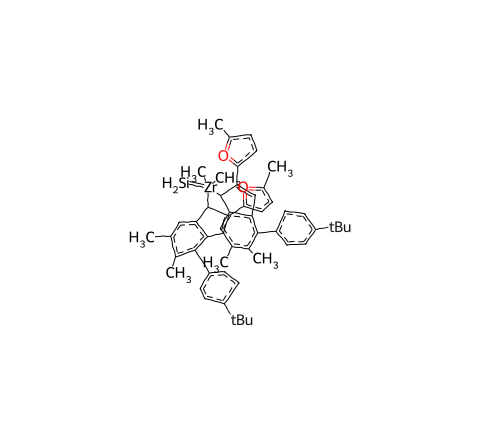 Cc1ccc(C2=Cc3c(cc(C)c(C)c3-c3ccc(C(C)(C)C)cc3)[CH]2[Zr]([CH3])([CH3])(=[SiH2])[CH]2C(c3ccc(C)o3)=Cc3c2cc(C)c(C)c3-c2ccc(C(C)(C)C)cc2)o1